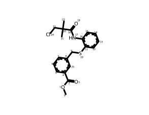 COC(=O)c1cccc(CSc2ccccc2NC(=O)C(C)(C)CCl)c1